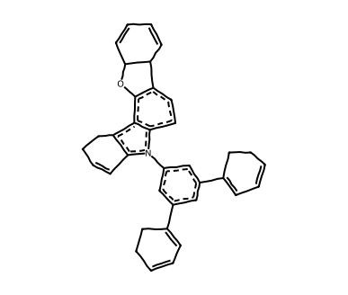 C1=CCCC(c2cc(C3=CC=CCC3)cc(-n3c4c(c5c6c(ccc53)C3C=CC=CC3O6)CCC=C4)c2)=C1